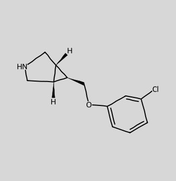 Clc1cccc(OC[C@H]2[C@@H]3CNC[C@@H]32)c1